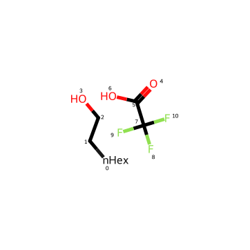 CCCCCCCCO.O=C(O)C(F)(F)F